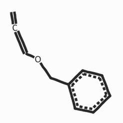 C=C=COCc1ccccc1